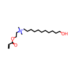 C=CC(=O)OCC[N+](C)(C)CCCCCCCCCCCO